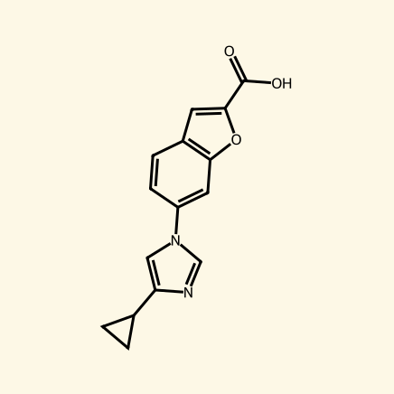 O=C(O)c1cc2ccc(-n3cnc(C4CC4)c3)cc2o1